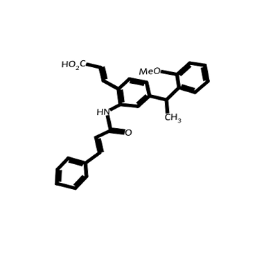 COc1ccccc1C(C)c1ccc(C=CC(=O)O)c(NC(=O)C=Cc2ccccc2)c1